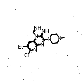 CCc1cc2c(nc1Cl)nc(N1CCN(C)CC1)c(=N)n2C=N